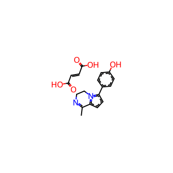 CC1=NCCn2c1ccc2-c1ccc(O)cc1.O=C(O)/C=C/C(=O)O